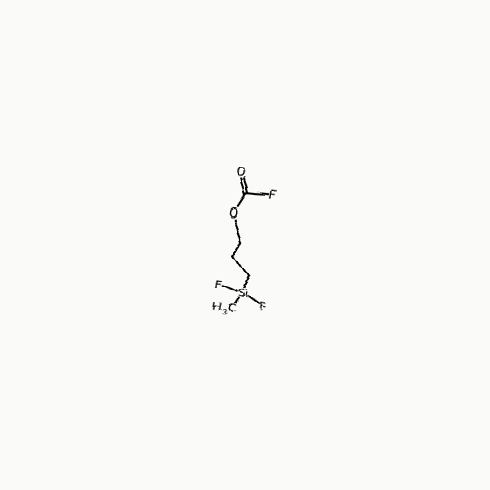 C[Si](F)(F)CCCOC(=O)F